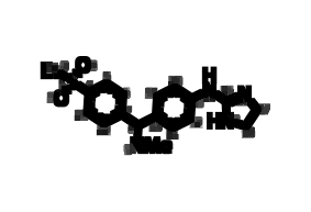 CCS(=O)(=O)c1ccc(C(NC)c2ccc(NC3=NCCN3)cc2)cc1